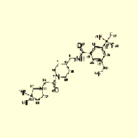 O=C(NCC1CCN(C(=O)CN2CCC(F)(F)C2)CC1)c1cc(CF)cc(C(F)(F)F)c1